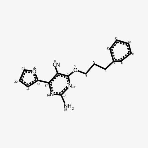 N#Cc1c(OCCCc2ccccc2)nc(N)nc1-c1ccco1